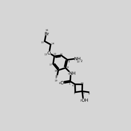 CC1(O)CC(C(=O)Nc2c(N)cc(OCCBr)cc2F)C1